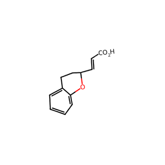 O=C(O)/C=C/C1CCc2ccccc2O1